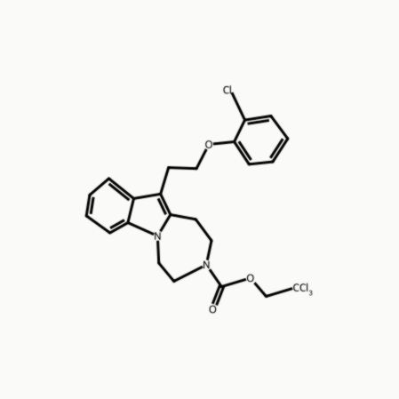 O=C(OCC(Cl)(Cl)Cl)N1CCc2c(CCOc3ccccc3Cl)c3ccccc3n2CC1